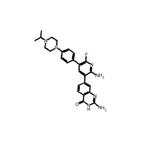 CC(C)N1CCN(c2ccc(-c3cc(-c4ccc5c(=O)[nH]c(N)nc5c4)c(N)nc3F)cc2)CC1